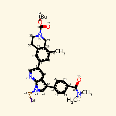 Cc1cc(-c2cnc3c(c2)c(-c2ccc(C(=O)N(C)C)cc2)cn3SI)cc2c1CN(C(=O)OC(C)(C)C)CC2